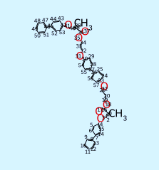 CC(=COc1ccc(-c2ccccc2)cc1)C(=O)OCCCOc1ccc(-c2ccc(OCCCOC(=O)C(C)=COc3ccc(-c4ccccc4)cc3)cc2)cc1